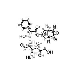 Br.CN1[C@@H]2C[C@@H](OC(=O)[C@H](CO)c3ccccc3)C[C@H]1[C@@H]1O[C@@H]12.O=C[C@H](O)[C@@H](O)[C@H](O)[C@H](O)CO